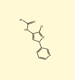 CC(C)C(=O)Nc1cn(-c2cccnc2)nc1Cl